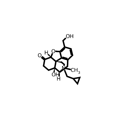 C[N+]1(CC2CC2)CC[C@]23c4c5ccc(CO)c4O[C@H]2C(=O)CC[C@@]3(O)[C@H]1C5